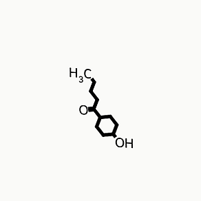 CCCCC(=O)C1CCC(O)CC1